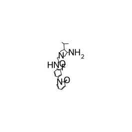 CC(C)C1CN(CC(=O)Nc2ccc(-n3ccccc3=O)cc2F)CC1N